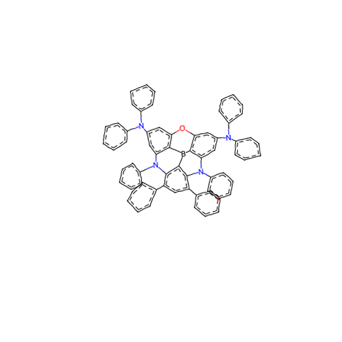 c1ccc(-c2cc(-c3ccccc3)c3c4c2N(c2ccccc2)c2cc(N(c5ccccc5)c5ccccc5)cc5c2B4c2c(cc(N(c4ccccc4)c4ccccc4)cc2N3c2ccccc2)O5)cc1